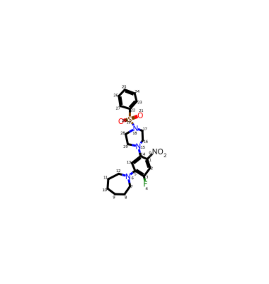 O=[N+]([O-])c1cc(F)c(N2CCCCCC2)cc1N1CCN(S(=O)(=O)c2ccccc2)CC1